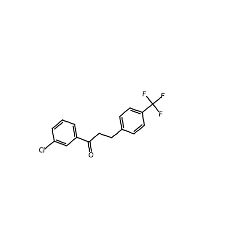 O=C(CCc1ccc(C(F)(F)F)cc1)c1cccc(Cl)c1